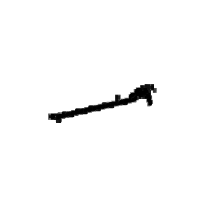 CCCCc1nc2c(N)nc3ccc(N4CCN(CCOCCNCCOCCOCCOCCOCCOCCOCCOCCOCCC(=O)O)CC4)cc3c2[nH]1